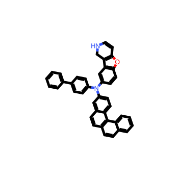 C1=Cc2oc3ccc(N(c4ccc(-c5ccccc5)cc4)c4ccc5c(ccc6ccc7ccccc7c65)c4)cc3c2CN1